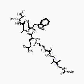 CCNC(=O)C(NC(=O)C(C)NC(=O)C(Cc1c[nH]c2ccccc12)NC(=O)C(CCC(N)=O)NC(=O)CCCNC(=S)N/N=C(C)/C(C)=N/NC(=S)NC)C(C)C